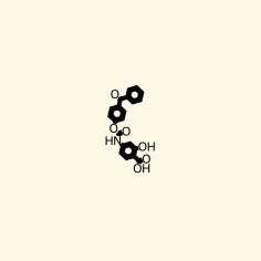 O=C(Nc1ccc(C(=O)O)c(O)c1)Oc1ccc(C(=O)c2ccccc2)cc1